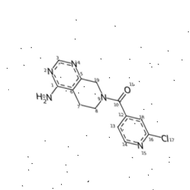 Nc1ncnc2c1CCN(C(=O)c1ccnc(Cl)c1)C2